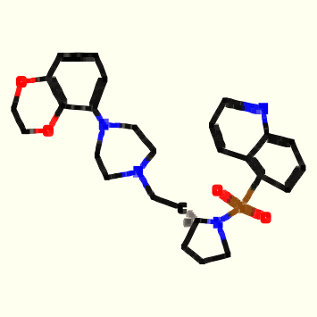 O=S(=O)(c1cccc2ncccc12)N1CCC[C@@H]1CCN1CCN(c2cccc3c2OCCO3)CC1